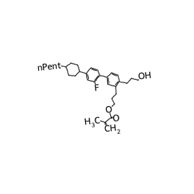 C=C(C)C(=O)OCCCc1cc(-c2ccc(C3CCC(CCCCC)CC3)cc2F)ccc1CCCO